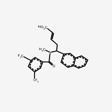 CN(C(=O)c1cc(C(F)(F)F)cc(C(F)(F)F)c1)C(CC=CC(=O)O)c1ccc2ccccc2c1